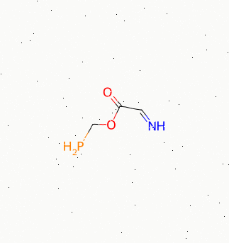 N=CC(=O)OCP